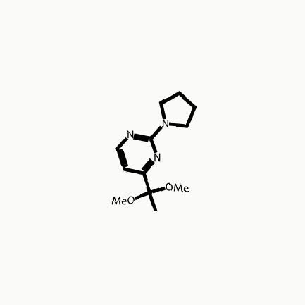 COC(C)(OC)c1ccnc(N2CCCC2)n1